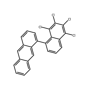 Clc1c(Cl)c(Cl)c2c(-c3cccc4cc5ccccc5cc34)cccc2c1Cl